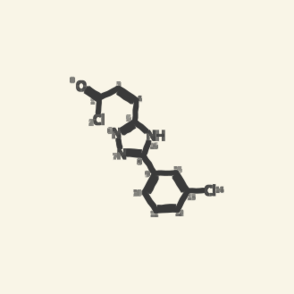 O=C(Cl)/C=C\c1nnc(-c2cccc(Cl)c2)[nH]1